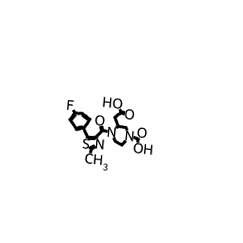 Cc1nc(C(=O)N2CCN(C(=O)O)CC2CC(=O)O)c(-c2ccc(F)cc2)s1